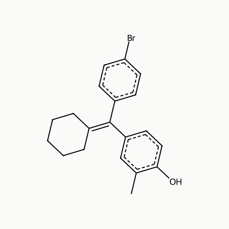 Cc1cc(C(=C2CCCCC2)c2ccc(Br)cc2)ccc1O